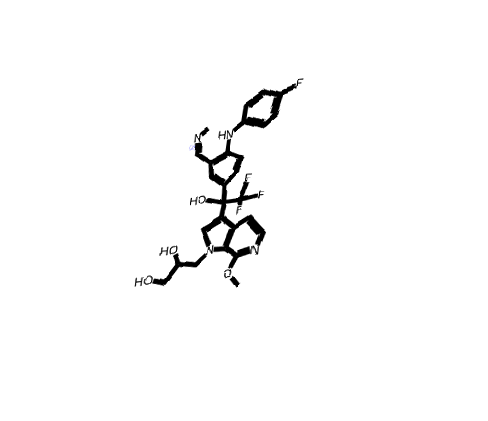 C/N=C\c1cc(C(O)(c2cn(CC(O)CO)c3c(OC)nccc23)C(F)(F)F)ccc1Nc1ccc(F)cc1